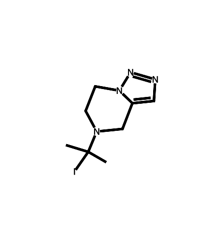 CC(C)(I)N1CCn2nncc2C1